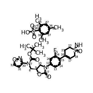 CC(C)(C)OC(=O)N(C[C@H]1CN(c2ccc(C3=CCS(=N)(=O)CC3)c(F)c2)C(=O)O1)c1ccon1.Cc1cc(C)c(S(=O)(=O)O)c(C)c1